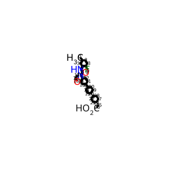 Cc1ccc(F)c(NC(=O)N2CCOc3cc(-c4ccc([C@H]5CC[C@H](CC(=O)O)CC5)cc4)ccc32)c1